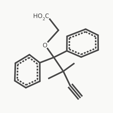 C#CC(C)(C)C(OCC(=O)O)(c1ccccc1)c1ccccc1